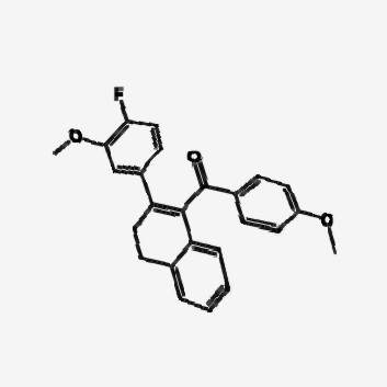 COc1ccc(C(=O)C2=C(c3ccc(F)c(OC)c3)CCc3ccccc32)cc1